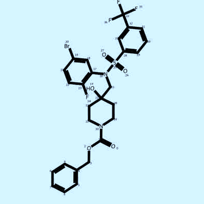 O=C(OCc1ccccc1)N1CCC(O)(CN(c2cc(Br)ccc2F)S(=O)(=O)c2cccc(C(F)(F)F)c2)CC1